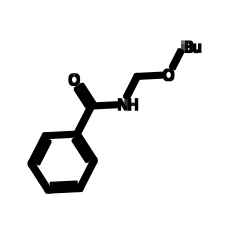 CCC(C)OCNC(=O)c1ccccc1